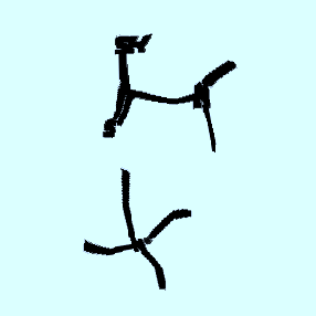 CN(C)C(=S)S.C[N+](C)(C)C